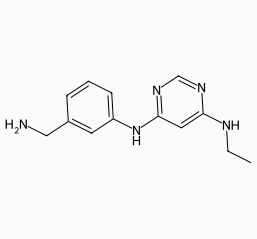 CCNc1cc(Nc2cccc(CN)c2)ncn1